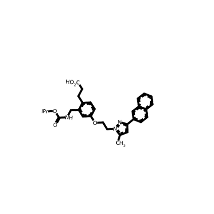 Cc1cc(-c2ccc3ccccc3c2)nn1CCOc1ccc(CCC(=O)O)c(CNC(=O)OC(C)C)c1